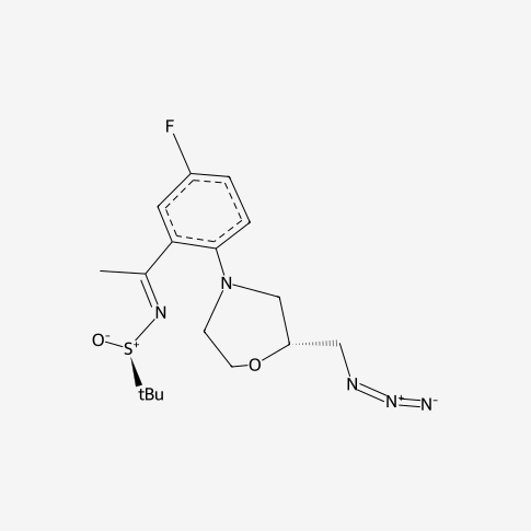 [CH2]C(C)(C)[S@@+]([O-])N=C(C)c1cc(F)ccc1N1CCO[C@@H](CN=[N+]=[N-])C1